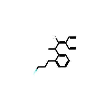 C=CC(C=C)=C(CC)C(C)c1ccccc1CCCF